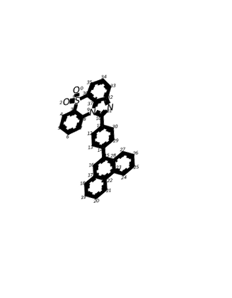 O=S1(=O)c2ccccc2-n2c(-c3ccc(-c4cc5ccccc5c5ccccc45)cc3)nc3cccc1c32